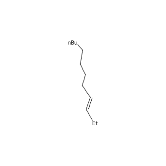 [CH2]C/C=C/CCCCCCC[CH2]